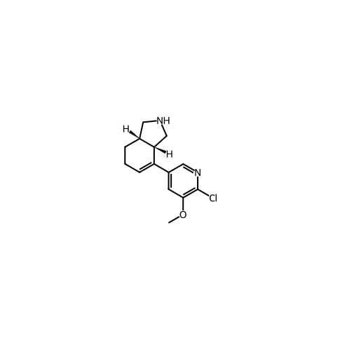 COc1cc(C2=CCC[C@@H]3CNC[C@H]23)cnc1Cl